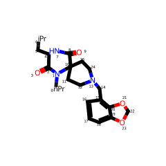 CCCN1C(=O)C(CC(C)C)NC(=O)C12CCN(Cc1cccc3c1OCO3)CC2